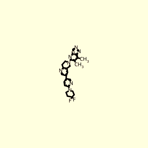 Cc1c(N2CCc3ncc(-c4ccc(N5CCC(F)(F)CC5)nc4)cc3C2)nn2cnnc2c1C